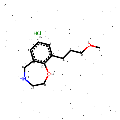 COCCCc1cccc2c1OCCNC2.Cl